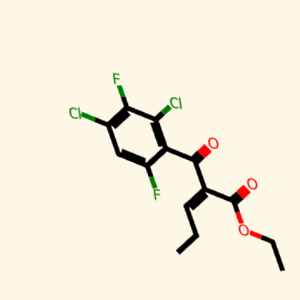 CCC=C(C(=O)OCC)C(=O)c1c(F)cc(Cl)c(F)c1Cl